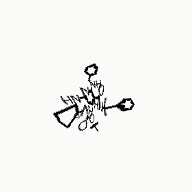 CC(C)(C)OC(=O)N[C@H]1CCCCC1Nc1ccc(C(=O)NC(C)(C)c2ccccc2)c(NCc2ccccc2)n1